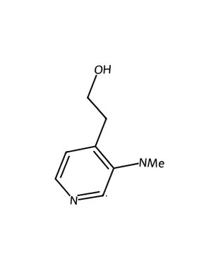 CNc1[c]nccc1CCO